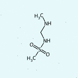 CNCNS(C)(=O)=O